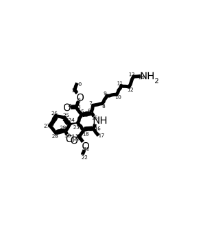 CCOC(=O)C1=C(CCCCCCCN)NC(C)=C(C(=O)OC)[C@H]1c1ccccc1Cl